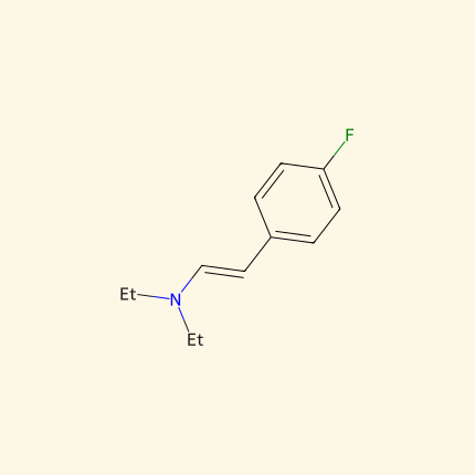 CCN(C=Cc1ccc(F)cc1)CC